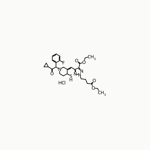 CCOC(=O)CCCn1nc(C=C2CN(C(C(=O)C3CC3)c3ccccc3F)CCC2S)c(C(=O)OCC)n1.Cl